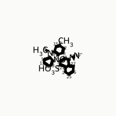 Cc1ccc([N+](=O)[O-])c(N(C)c2ccccc2)c1.[N-]=[N+]=C1C=CC(S(=O)(=O)O)=C2CC=CC=C12